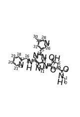 CCNC(=O)[C@@H]1C[C@@H](O)[C@H](n2cnc3c(NCc4ccccn4)nc(-c4cncc(C)c4)nc32)O1